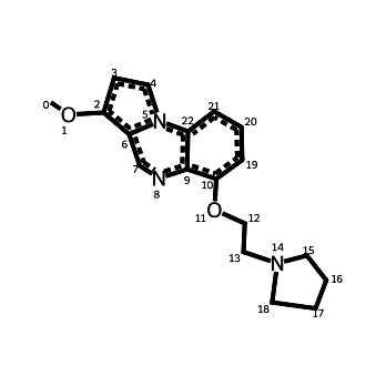 COc1ccn2c1cnc1c(OCCN3CCCC3)cccc12